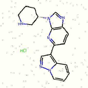 Cl.c1ccn2ncc(-c3ccc4ncn([C@H]5CCCNC5)c4n3)c2c1